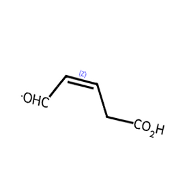 O=[C]/C=C\CC(=O)O